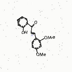 COc1ccc(/C=C/C(=O)c2ccccc2O)c(OC)c1